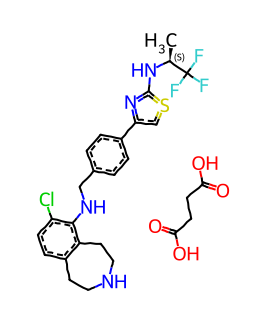 C[C@H](Nc1nc(-c2ccc(CNc3c(Cl)ccc4c3CCNCC4)cc2)cs1)C(F)(F)F.O=C(O)CCC(=O)O